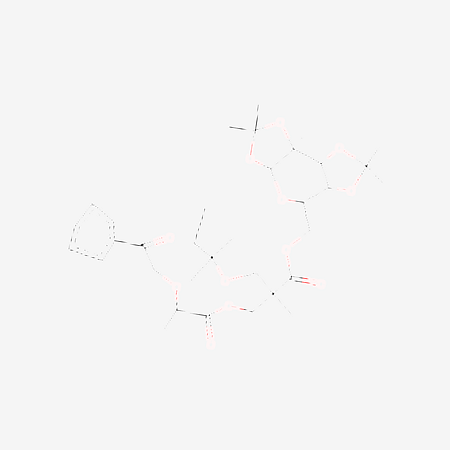 CCC(C)(C)OCC(C)(COC(=O)C(C)OCC(=O)c1ccccc1)C(=O)OCC1OC2OC(C)(C)O[C@H]2C2OC(C)(C)OC12